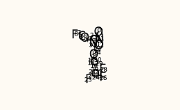 O=c1cc(COCCF)n2c(n1)O[C@H](COc1ccc(-c3cc(F)cc(F)c3F)cc1)C2